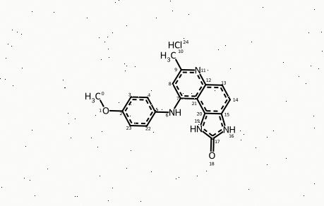 COc1ccc(Nc2cc(C)nc3ccc4[nH]c(=O)[nH]c4c23)cc1.Cl